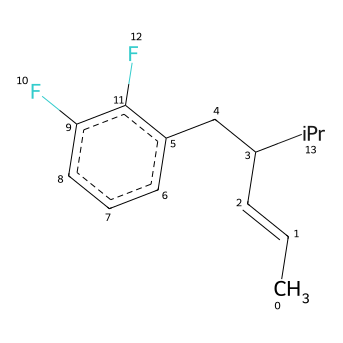 C/C=C/C(Cc1cccc(F)c1F)C(C)C